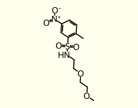 COCCOCCNS(=O)(=O)c1cc([N+](=O)[O-])ccc1C